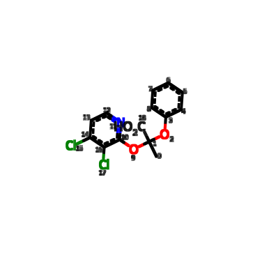 CC(Oc1ccccc1)(Oc1nccc(Cl)c1Cl)C(=O)O